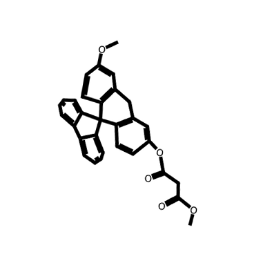 COC(=O)CC(=O)Oc1ccc2c(c1)Cc1cc(OC)ccc1C21c2ccccc2-c2ccccc21